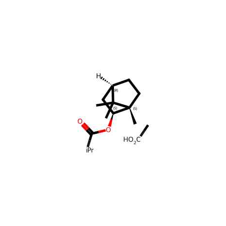 CC(=O)O.CC(C)C(=O)O[C@H]1C[C@H]2CC[C@@]1(C)C2(C)C